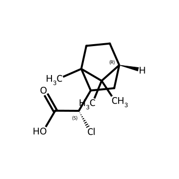 CC12CC[C@H](CC1[C@H](Cl)C(=O)O)C2(C)C